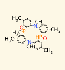 Cc1ccc2c(c1)[PH](=O)c1cc(C)ccc1N(C)c1ccc(C)cc1P(C)(=O)c1cc(C)ccc1N2C